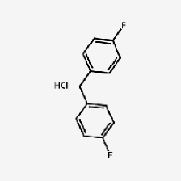 Cl.Fc1ccc(Cc2ccc(F)cc2)cc1